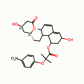 CC1C=CC2=CC(O)CC(OC(=O)C(C)(C)Oc3ccc([N+](=O)[O-])cc3)C2C1CC[C@@H]1C[C@@H](O)CC(=O)O1